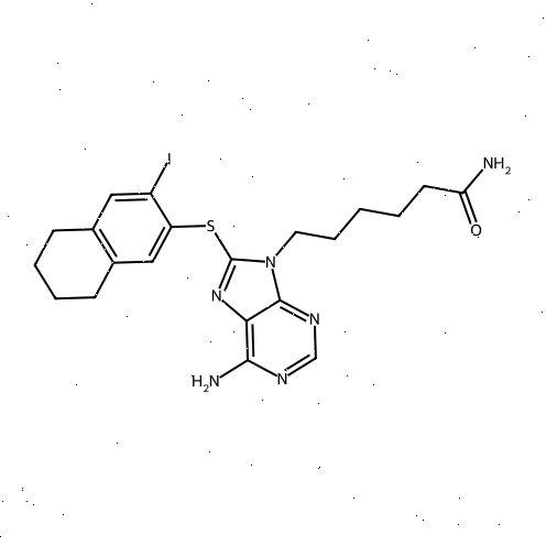 NC(=O)CCCCCn1c(Sc2cc3c(cc2I)CCCC3)nc2c(N)ncnc21